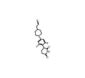 O=CCC1CCN(c2cc(F)c(C3CCC(=O)NC3=O)c(F)c2)CC1